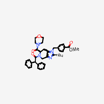 CCCCc1nc2c(n1Cc1ccc(C(=O)OC)cc1)CC(C(=O)N1CCOCC1)N(C(=O)C(c1ccccc1)c1ccccc1)C2